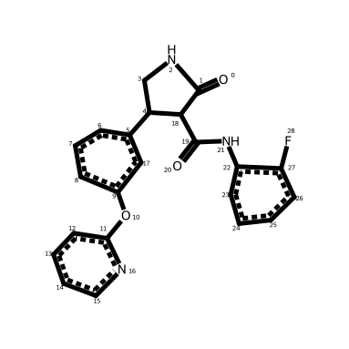 O=C1NCC(c2cccc(Oc3ccccn3)c2)C1C(=O)Nc1ccccc1F